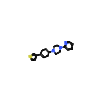 C1=C(c2ccsc2)CCC(N2CCN(c3ccccn3)CC2)C1